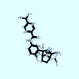 C[C@]1(c2cc(NC(=O)c3cnc(C(F)F)cn3)ccc2F)N=C(N)[C@@]2(CF)CC[C@@H]1S2(=O)=O